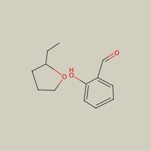 CCC1CCCO1.O=Cc1ccccc1O